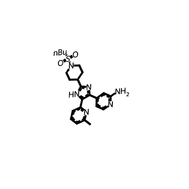 CCCCS(=O)(=O)N1CCC(c2nc(-c3ccnc(N)c3)c(-c3cccc(C)n3)[nH]2)CC1